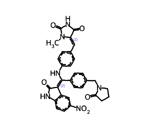 CN1C(=O)NC(=O)/C1=C/c1ccc(N/C(=C2\C(=O)Nc3ccc([N+](=O)[O-])cc32)c2ccc(CN3CCCC3=O)cc2)cc1